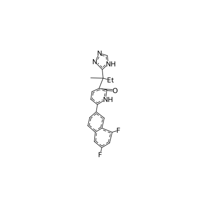 CCC(C)(c1nnc[nH]1)c1ccc(-c2ccc3cc(F)cc(F)c3c2)[nH]c1=O